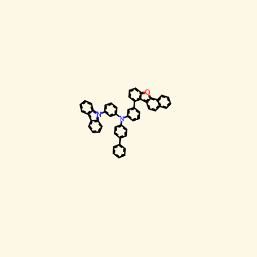 c1ccc(-c2ccc(N(c3cccc(-c4cccc5oc6c7ccccc7ccc6c45)c3)c3cccc(-n4c5ccccc5c5ccccc54)c3)cc2)cc1